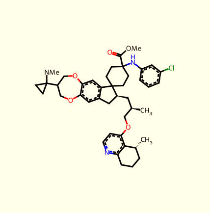 CNC1(C2COc3cc4c(cc3OC2)C2(CCC(Nc3cccc(Cl)c3)(C(=O)OC)CC2)[C@@H](C[C@@H](C)COc2ccnc3c2[C@H](C)CCC3)C4)CC1